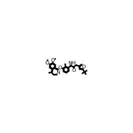 COc1cc2c(cc1OC)=C(Oc1cccc(C(=N)C(=O)Cc3coc(C(C)(C)C)c3)c1C)N=CCC=2C